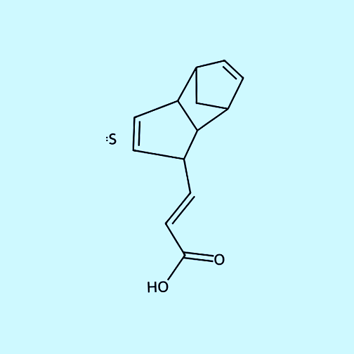 O=C(O)C=CC1C=CC2C3C=CC(C3)C12.[S]